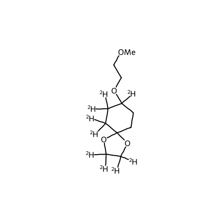 [2H]C1([2H])OC2(CCC([2H])(OCCOC)C([2H])([2H])C2([2H])[2H])OC1([2H])[2H]